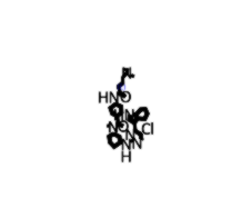 CN(C)C/C=C/C(=O)Nc1ccc(C(=O)N(C)c2cccc(Nc3ncc(Cl)c(-c4c[nH]c5ccccc45)n3)c2)cc1